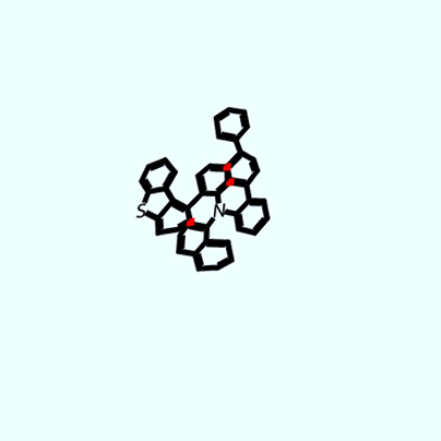 c1ccc(-c2ccc(-c3ccccc3N(c3ccccc3-c3cccc4sc5ccccc5c34)c3cccc4ccccc34)cc2)cc1